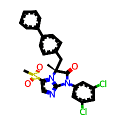 C[C@@]1(Cc2ccc(-c3ccccc3)cc2)C(=O)N(c2cc(Cl)cc(Cl)c2)c2ncc(S(C)(=O)=O)n21